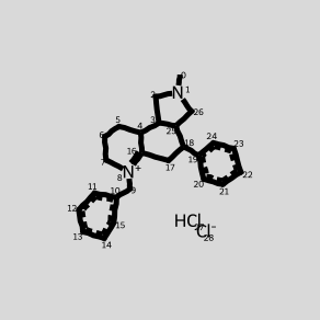 CN1CC2C3CCC[N+](Cc4ccccc4)=C3CC(c3ccccc3)C2C1.Cl.[Cl-]